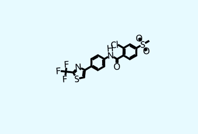 CS(=O)(=O)c1ccc(C(=O)Nc2ccc(-c3csc(C(F)(F)F)n3)cc2)c(Cl)c1